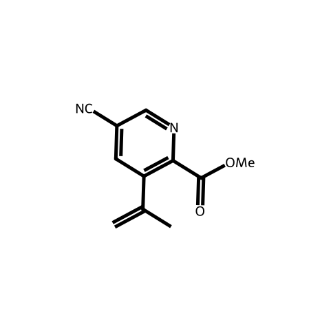 C=C(C)c1cc(C#N)cnc1C(=O)OC